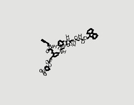 C#CCCNC(=O)CCc1cc(NC(=O)CNC(=O)[C@H](Cc2ccccc2)NC(=O)CNC(=O)CNC(=O)OCC2c3ccccc3-c3ccccc32)ccc1COC(=O)Oc1ccc([N+](=O)[O-])cc1